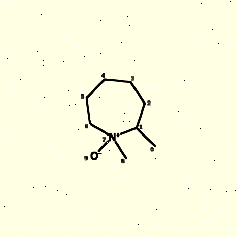 CC1CCCCC[N+]1(C)[O-]